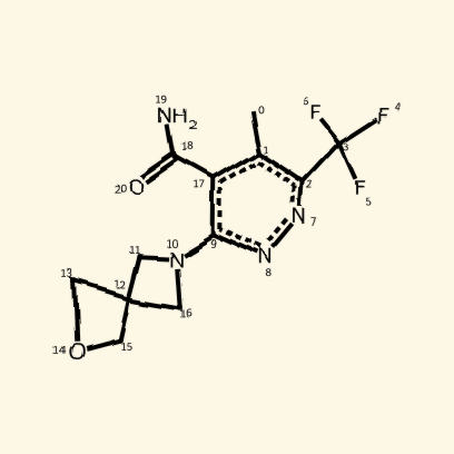 Cc1c(C(F)(F)F)nnc(N2CC3(COC3)C2)c1C(N)=O